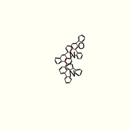 c1cc(-c2ccc(N(c3ccccc3-c3ccc4ccccc4c3)c3ccccc3-c3cccc4c3oc3ccccc34)cc2)cc(-c2ccccc2-n2c3ccccc3c3ccccc32)c1